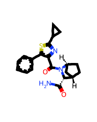 NC(=O)[C@H]1[C@H]2CC[C@@H](C2)N1C(=O)c1nc(C2CC2)sc1-c1ccccc1